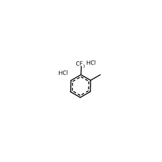 Cc1ccccc1C(F)(F)F.Cl.Cl